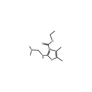 CCOC(=O)[n+]1c(NCN(C)C)sc(C)c1C